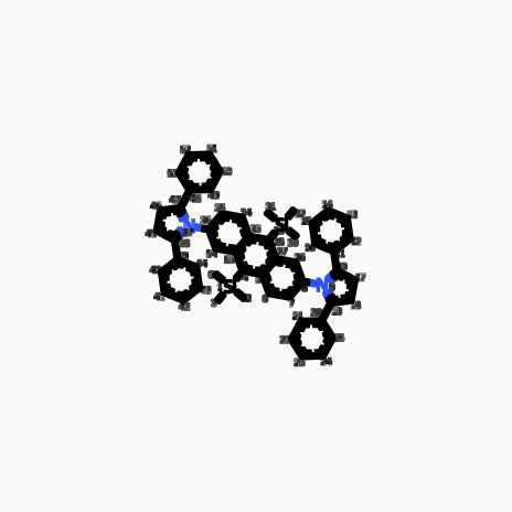 C[Si](C)(C)c1c2ccc(-n3c(-c4ccccc4)ccc3-c3ccccc3)cc2c([Si](C)(C)C)c2ccc(-n3c(-c4ccccc4)ccc3-c3ccccc3)cc12